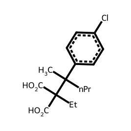 CCCC(C)(c1ccc(Cl)cc1)C(CC)(C(=O)O)C(=O)O